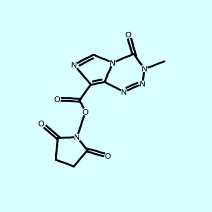 Cn1nnc2c(C(=O)ON3C(=O)CCC3=O)ncn2c1=O